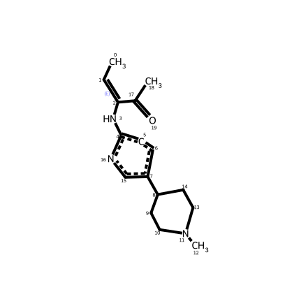 C/C=C(/Nc1ccc(C2CCN(C)CC2)cn1)C(C)=O